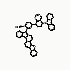 C#Cc1ccc(-c2ccc(-n3c4ccccc4c4ccccc43)c3cncnc23)cc1-n1c2ccccc2c2c3ccc4c5ccccc5sc4c3ccc21